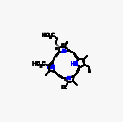 C=Cc1c(C)c2cc3nc(cc4[nH]c(cc5nc(cc1[nH]2)C(C)C5CC)c(C)c4C(=O)O)[C@H](CCC(=O)O)[C@H]3C